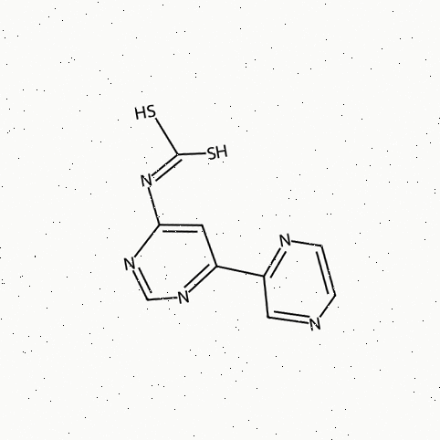 SC(S)=Nc1cc(-c2cnccn2)ncn1